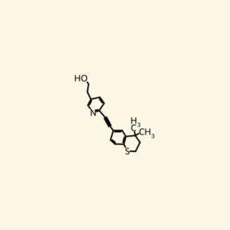 CC1(C)CCSc2ccc(C#Cc3ccc(CCO)cn3)cc21